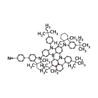 CC(C)(C)c1ccc(N2c3ccc(N4c5ccc(-c6ccc(C#N)cc6)cc5C5(C)CCCCC45C)cc3B3c4cc(C(C)(C)C)ccc4N(c4ccc(C(C)(C)C)cc4-c4ccccc4)c4cc(N5c6ccc(C(C)(C)C)cc6C6(C)CCCCC56C)cc2c43)cc1